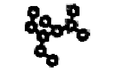 c1ccc(-c2cccc(-c3cc(-c4cccc(-c5ccccc5)c4)cc(-c4ccc(-c5nc(-c6cccnc6)nc(-c6cccnc6)n5)cc4-c4ccccc4)c3)c2)cc1